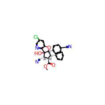 COC(=O)[C@@H]1[C@@H](c2ccccc2)[C@]2(c3ccc(C#N)cc3)Oc3cc(Cl)cnc3[C@@]2(O)[C@H]1C#N